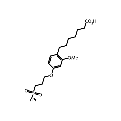 CCCS(=O)(=O)CCCOc1ccc(CCCCCCC(=O)O)c(OC)c1